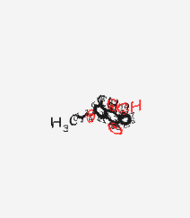 CCCCOc1cc(C)c2c(c1)C(=O)c1cccc(O)c1C2=O